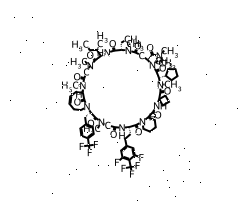 CC[C@H](C)[C@@H]1NC(=O)[C@H](CC)N(C)C(=O)C[C@@H](C(=O)N(C)C)N(C)C(=O)[C@H](C2CCCC2)N(C)C(=O)C2(CCC2)NC(=O)[C@@H]2CCCCN2C(=O)[C@H](CCc2cc(F)c(C(F)(F)F)c(F)c2)NC(=O)CN(C)C(=O)[C@H](Cc2ccc(C(F)(F)F)cc2)N2CC/C=C\C[C@@H](C2=O)N(C)C(=O)CN(C)C1=O